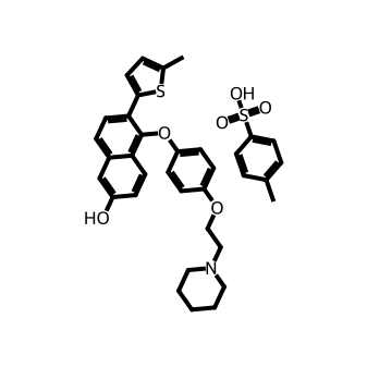 Cc1ccc(-c2ccc3cc(O)ccc3c2Oc2ccc(OCCN3CCCCC3)cc2)s1.Cc1ccc(S(=O)(=O)O)cc1